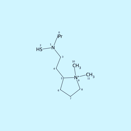 CC(C)N(S)CCC1CCC[N+]1(C)C